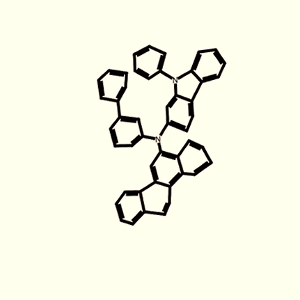 c1ccc(-c2cccc(N(c3ccc4c5ccccc5n(-c5ccccc5)c4c3)c3cc4c5ccccc5ccc4c4ccccc34)c2)cc1